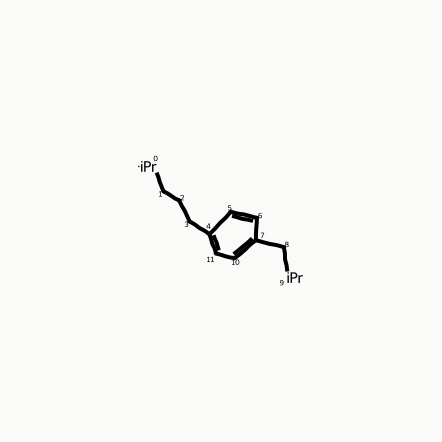 C[C](C)CCCc1ccc(CC(C)C)cc1